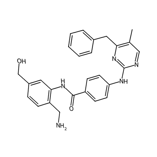 Cc1cnc(Nc2ccc(C(=O)Nc3cc(CO)ccc3CN)cc2)nc1Cc1ccccc1